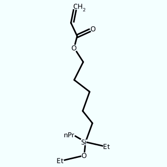 C=CC(=O)OCCCCC[Si](CC)(CCC)OCC